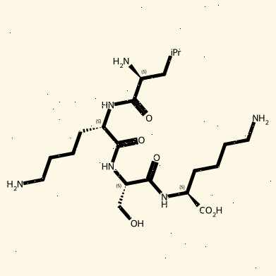 CC(C)C[C@H](N)C(=O)N[C@@H](CCCCN)C(=O)N[C@@H](CO)C(=O)N[C@@H](CCCCN)C(=O)O